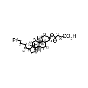 CC(C)CCC[C@@H](C)[C@H]1CC[C@H]2[C@@H]3CCC4C[C@@H](OC(=O)CCC(=O)O)CC[C@]4(C)[C@H]3CC[C@]12C